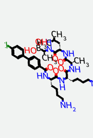 CC(C)C[C@H](NC(=O)[C@H](C)NC(=O)[C@H](CCCCN)NC(=O)[C@H](CCCCN)NC(=O)c1ccc(-c2ccc(Cl)cc2)cc1)C(=O)N[C@@H](C)B(O)O